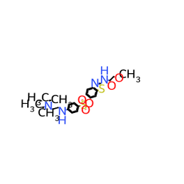 COCC(=O)Nc1nc2ccc(OS(=O)(=O)c3ccc(NCCN(C(C)C)C(C)C)cc3)cc2s1